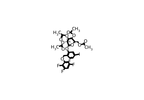 CC(=O)OC[C@H]1O[C@@H](Oc2cc(I)ccc2COc2c(F)c(F)cc(F)c2F)[C@H](OC(C)=O)[C@@H](OC(C)=O)[C@H]1OC(C)=O